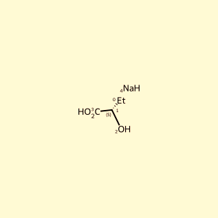 CC[C@H](O)C(=O)O.[NaH]